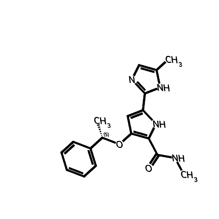 CNC(=O)c1[nH]c(-c2ncc(C)[nH]2)cc1O[C@@H](C)c1ccccc1